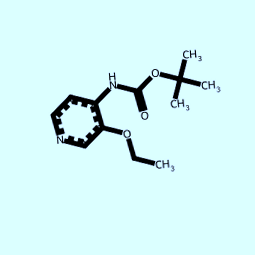 CCOc1cnccc1NC(=O)OC(C)(C)C